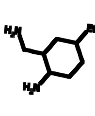 CCC1CCC(N)C(CN)C1